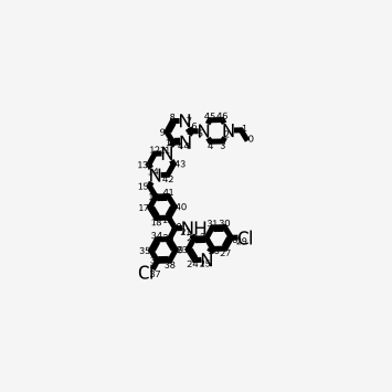 CCN1CCN(c2nccc(N3CCN(Cc4ccc(C(Nc5ccnc6cc(Cl)ccc56)c5ccc(Cl)cc5)cc4)CC3)n2)CC1